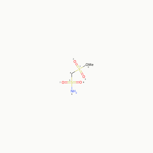 COS(=O)(=O)CS(N)(=O)=O